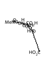 CNC(=O)COCCOCCNC(=O)CCC(NC(=O)[C@H]1CC[C@H](CNC(=O)CCCCCCCCCCCCCCCCCCC(=O)O)CC1)C(=O)O